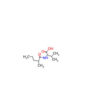 CCCC(C)C(=O)NC(C(=O)O)C(C)C